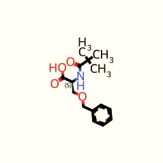 CC(C)(C)C(=O)N[C@@H](COCc1ccccc1)C(=O)O